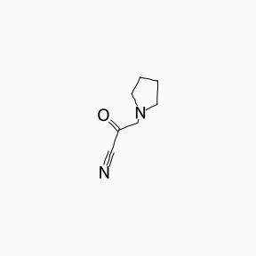 N#CC(=O)CN1CCCC1